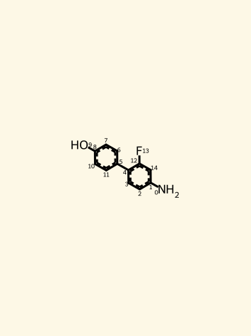 Nc1ccc(-c2ccc(O)cc2)c(F)c1